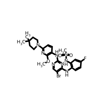 COc1nc(N2CCC(C)(C)CC2)ccc1Nc1ncc(Br)c(Nc2ccc(F)cc2NS(C)(=O)=O)n1